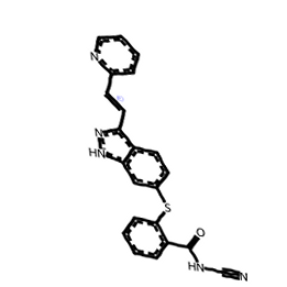 N#CNC(=O)c1ccccc1Sc1ccc2c(/C=C/c3ccccn3)n[nH]c2c1